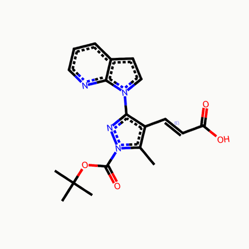 Cc1c(/C=C/C(=O)O)c(-n2ccc3cccnc32)nn1C(=O)OC(C)(C)C